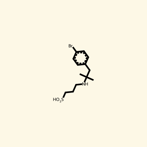 CC(C)(Cc1ccc(Br)cc1)NCCCS(=O)(=O)O